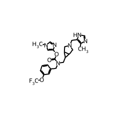 Cc1nc[nH]c1CN1CC2C(C1)C2CN(Cc1cccc(OC(F)(F)F)c1)C(=O)Oc1cn(C)cn1